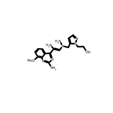 COc1cccc2c(/C(N)=C/N(N)Cc3ccnn3CCO)nc(N)nc12